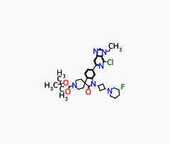 CCn1cnc2cc(-c3ccc4c(c3)N([C@H]3C[C@@H](N5CCC[C@@H](F)C5)C3)C(=O)C43CCN(C(=O)OC(C)(C)C)CC3)nc(Cl)c21